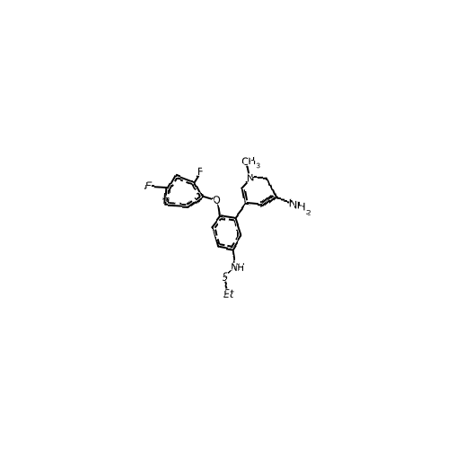 CCSNc1ccc(Oc2ccc(F)cc2F)c(C2=CN(C)CC(N)=C2)c1